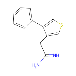 N=C(N)Cc1cscc1-c1ccccc1